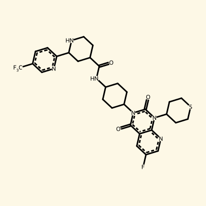 O=C(NC1CCC(n2c(=O)c3cc(F)cnc3n(C3CCSCC3)c2=O)CC1)C1CCNC(c2ccc(C(F)(F)F)cn2)C1